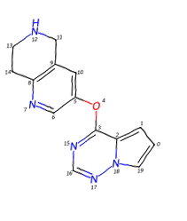 c1cc2c(Oc3cnc4c(c3)CNCC4)ncnn2c1